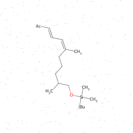 CC(=O)C=CC=C(C)CCCC(C)CO[Si](C)(C)C(C)(C)C